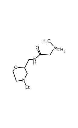 C=S(C)CC(=O)NCC1CN(CC)CCO1